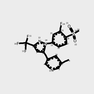 Cc1cncc(-c2cc(C(F)(F)F)nn2-c2ccc(S(C)(=O)=O)c(F)c2)c1